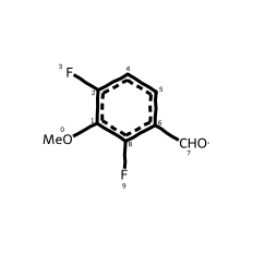 COc1c(F)ccc([C]=O)c1F